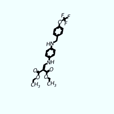 CCOC(=O)C(=CNc1ccc(NCc2ccc(OC(F)(F)F)cc2)cc1)C(=O)OCC